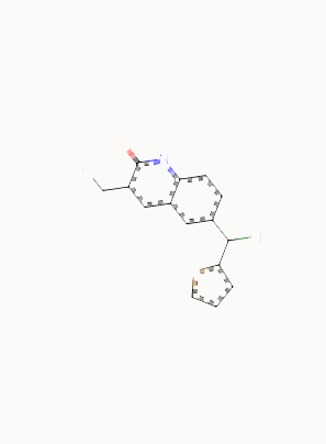 CCc1cc2cc(C(Cl)c3cccs3)ccc2[nH]c1=O